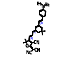 CCN(CC)c1ccc(/C=C/C2=CC(=C/C=C/C3=C(C#N)C(=C(C#N)C#N)OC3(C)C)/CC(C)(C)C2)cc1